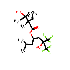 CCC(C)(C(=O)OC(CC(C)C)CC(O)(C(F)(F)F)C(F)(F)F)C(C)(C)O